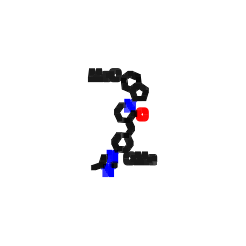 COc1ccc2c(c1)[C@@H](N1CCC/C(=C\c3ccc(-n4cnc(C)c4)c(OC)c3)C1=O)CC2